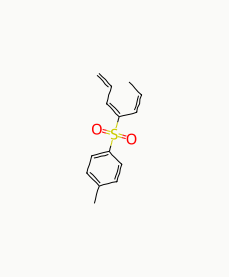 C=C/C=C(\C=C/C)S(=O)(=O)c1ccc(C)cc1